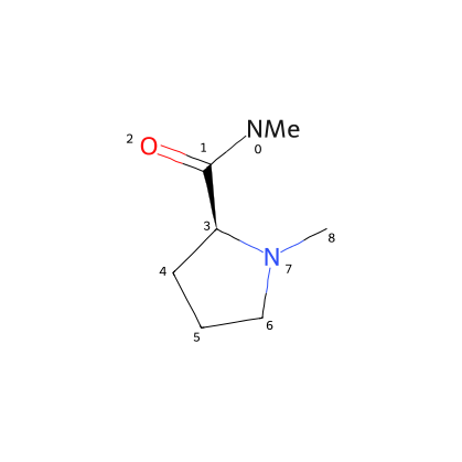 CNC(=O)[C@@H]1CCCN1C